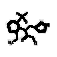 CCc1cccc(C(F)(F)F)c1N(Cc1cc[nH]n1)C(=O)CCl